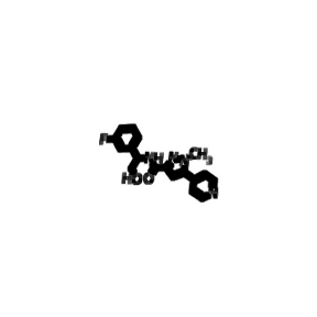 Cn1nc(C(=O)NC(CO)c2cccc(F)c2)cc1-c1ccncc1